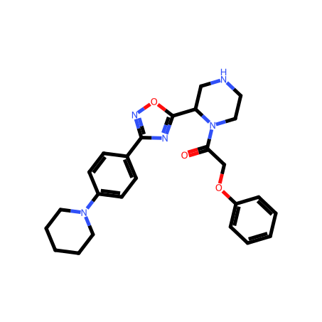 O=C(COc1ccccc1)N1CCNCC1c1nc(-c2ccc(N3CCCCC3)cc2)no1